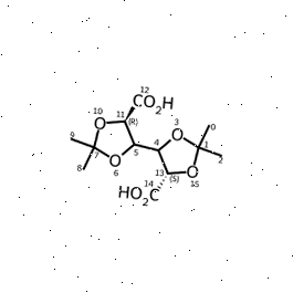 CC1(C)OC(C2OC(C)(C)O[C@H]2C(=O)O)[C@@H](C(=O)O)O1